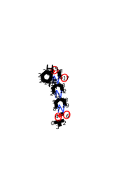 CC(C)(C)OC(=O)N1CCC(N2CCC(N3C(=O)CO[C@H]4CCCC[C@@H]43)CC2)CC1